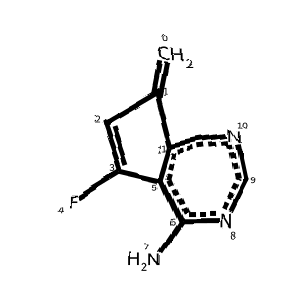 C=C1C=C(F)c2c(N)ncnc21